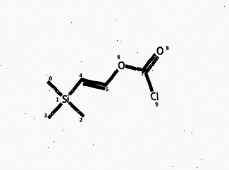 C[Si](C)(C)C=COC(=O)Cl